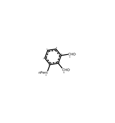 CCCCCc1cccc([C]=O)c1[C]=O